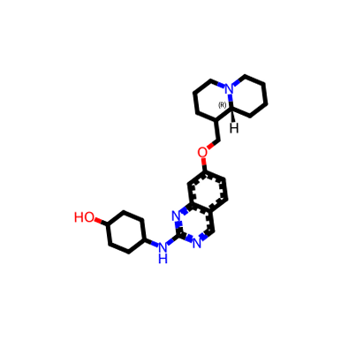 OC1CCC(Nc2ncc3ccc(OCC4CCCN5CCCC[C@H]45)cc3n2)CC1